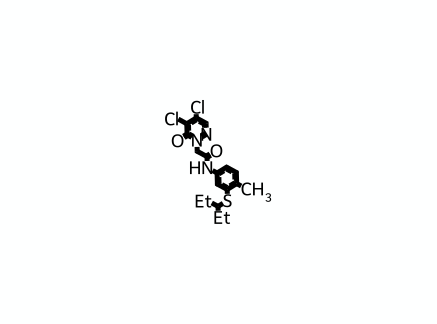 CCC(CC)Sc1cc(NC(=O)Cn2ncc(Cl)c(Cl)c2=O)ccc1C